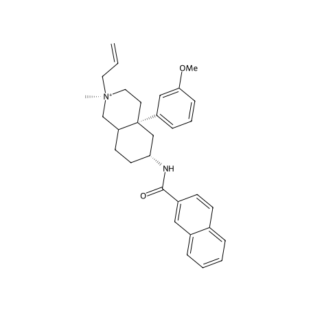 C=CC[N@@+]1(C)CC[C@@]2(c3cccc(OC)c3)C[C@H](NC(=O)c3ccc4ccccc4c3)CCC2C1